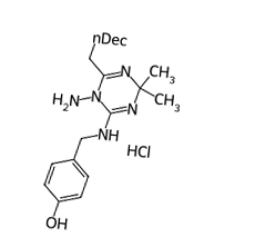 CCCCCCCCCCCC1=NC(C)(C)N=C(NCc2ccc(O)cc2)N1N.Cl